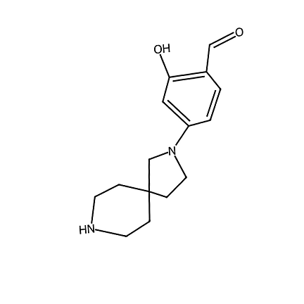 O=Cc1ccc(N2CCC3(CCNCC3)C2)cc1O